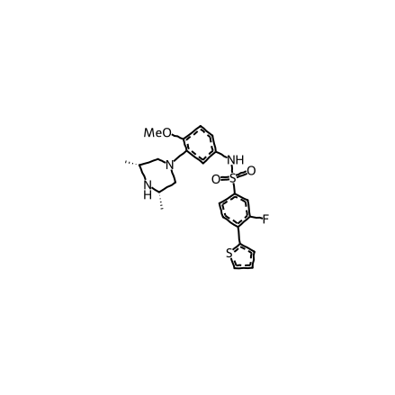 COc1ccc(NS(=O)(=O)c2ccc(-c3cccs3)c(F)c2)cc1N1C[C@@H](C)N[C@@H](C)C1